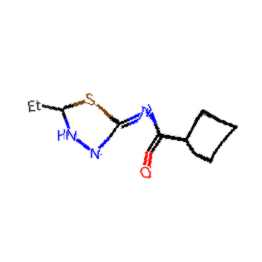 CCC1N[N]C(=NC(=O)C2CCC2)S1